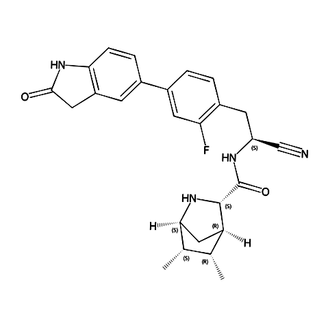 C[C@@H]1[C@H](C)[C@@H]2C[C@H]1[C@@H](C(=O)N[C@H](C#N)Cc1ccc(-c3ccc4c(c3)CC(=O)N4)cc1F)N2